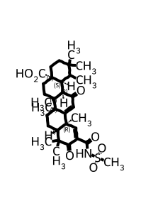 CC1[C@H]2[C@H]3C(=O)C=C4[C@@]5(C)C=C(C(=O)NS(C)(=O)=O)C(=O)C(C)(C)[C@@H]5CC[C@@]4(C)[C@]3(C)CC[C@@]2(C(=O)O)CCC1(C)C